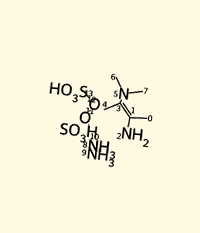 CC(N)=C(C)N(C)C.N.N.O=S(=O)(O)OOS(=O)(=O)O